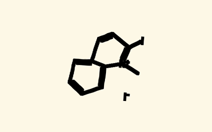 C[n+]1c(I)ccc2ccccc21.[I-]